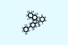 S=P(c1ccccc1)(c1ccc(-c2ccccc2)cc1)c1ccc2ccccc2c1